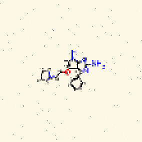 Nc1nc(-c2ccccc2)c2c(OCCN3CCCC3)c[nH]c2n1